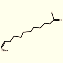 CCCCCC/C=C\CCCCCCCCCC(=O)Cl